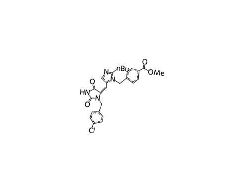 CCCCc1ncc(C=C2C(=O)NC(=O)N2Cc2ccc(Cl)cc2)n1Cc1ccc(C(=O)OC)cc1